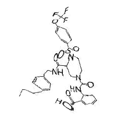 CCCc1ccc(CNC(=O)C2CN(C(=O)Nc3ccccc3C(=O)O)CCN2S(=O)(=O)c2ccc(OC(F)(F)F)cc2)cc1